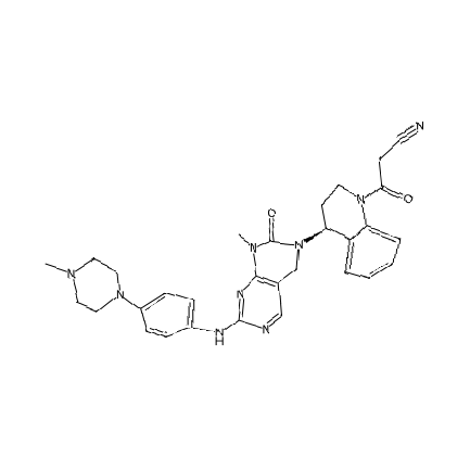 CN1CCN(c2ccc(Nc3ncc4c(n3)N(C)C(=O)N([C@H]3CCN(C(=O)CC#N)c5ccccc53)C4)cc2)CC1